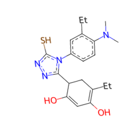 CCC1=C(O)C=C(O)C(c2nnc(S)n2-c2ccc(N(C)C)c(CC)c2)C1